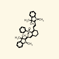 CN1/C(=C\C=C2\CCCC(/C=C/C3=[N+](C)c4ccccc4C3(C)C)=C2S(=O)(=O)c2ccccc2)C(C)(C)c2ccccc21